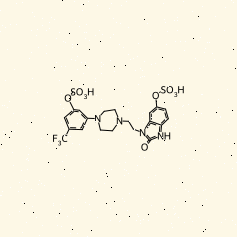 O=c1[nH]c2ccc(OS(=O)(=O)O)cc2n1CCN1CCN(c2cc(OS(=O)(=O)O)cc(C(F)(F)F)c2)CC1